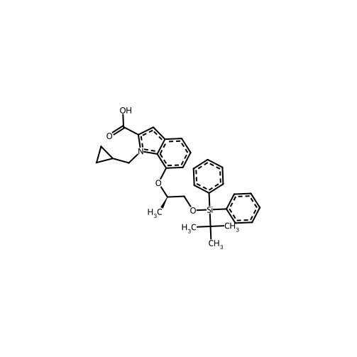 C[C@H](CO[Si](c1ccccc1)(c1ccccc1)C(C)(C)C)Oc1cccc2cc(C(=O)O)n(CC3CC3)c12